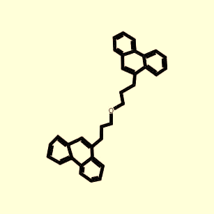 c1ccc2c(c1)cc(CCCOCCCc1cc3ccccc3c3ccccc13)c1ccccc12